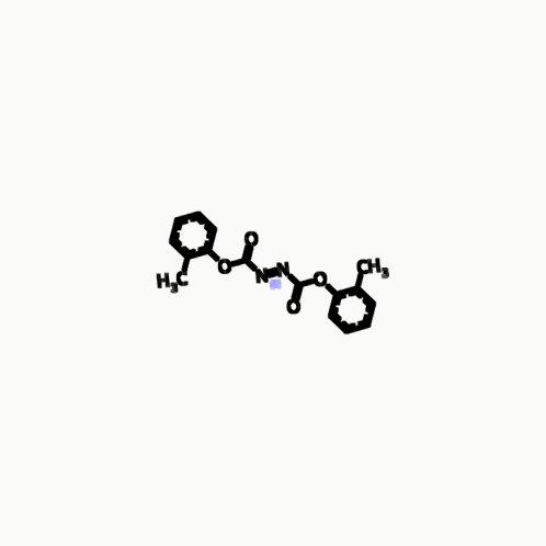 Cc1ccccc1OC(=O)/N=N/C(=O)Oc1ccccc1C